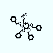 CCOCCN1C[C@H](OCc2ccccc2)[C@@H](OCc2ccccc2)[C@H](OCc2ccccc2)[C@H]1COCc1ccccc1